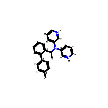 Cc1ccc(-c2ccccc2[C@H](C)N(c2cccnc2)c2cccnc2)cc1